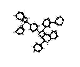 c1ccc(-c2cccc(-c3c(-c4ccc(-c5nc6ccccc6n5-c5ccccc5)cc4)oc4c(-c5ccccc5)nc5ccccc5c34)c2)cc1